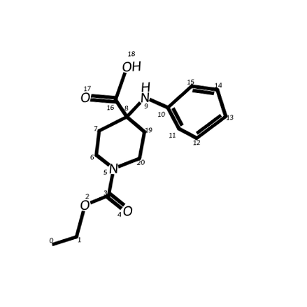 CCOC(=O)N1CCC(Nc2ccccc2)(C(=O)O)CC1